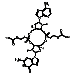 CC(C)(C)C(=O)OCSP1(=O)OC[C@H]2O[C@@H](n3cnc4c(=O)[nH]c(N)nc43)C(F)C2OP(=O)(SCOC(=O)C(C)(C)C)OC[C@H]2C[C@@H](n3cnc4c(N)ncnc43)C(F)C2O1